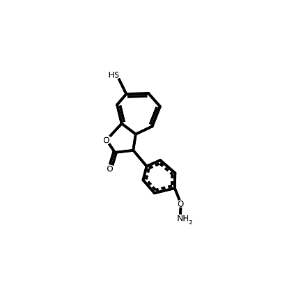 NOc1ccc(C2C(=O)OC3=CC(S)=CC=CC32)cc1